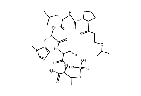 CC(C)C[C@H](NC(=O)[C@@H]1CCCN1C(=O)CCOC(C)C)C(=O)N[C@@H](Cc1cncn1C)C(=O)N[C@@H](CO)C(=O)N[C@H](C(N)=O)C(C)OP(=O)(O)O